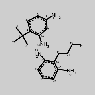 CC(C)(C)c1ccc(N)cc1N.CCCCc1c(N)cccc1N